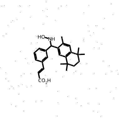 Cc1cc2c(cc1C(NO)c1cccc(/C=C/C(=O)O)c1)C(C)(C)CCC2(C)C